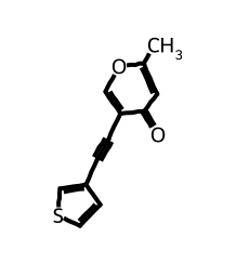 Cc1cc(=O)c(C#Cc2ccsc2)co1